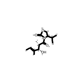 C/C=C(\C)[C@@H](O)[C@H](C)C(=O)N1C(=O)OCC1C(C)C